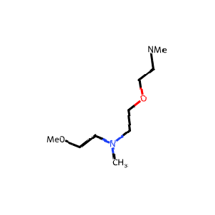 CNCCOCCN(C)CCOC